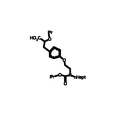 CCCCCCCN(CCOc1ccc(CC(OC(C)C)C(=O)O)cc1)C(=O)OC(C)C